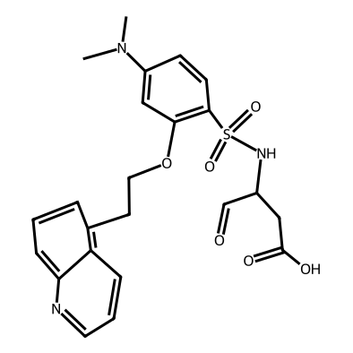 CN(C)c1ccc(S(=O)(=O)NC(C=O)CC(=O)O)c(OCCc2cccc3ncccc23)c1